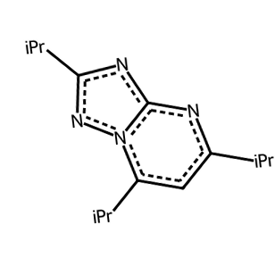 CC(C)c1cc(C(C)C)n2nc(C(C)C)nc2n1